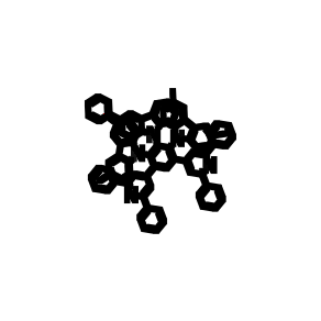 Cc1ccc2c(c1)c1cc(C)ccc1n2-c1c(-c2cc(-c3ccccc3)nc(-c3ccccc3)c2)cc(-c2cc(-c3ccccc3)nc(-c3ccccc3)c2)c(-n2c3ccc(C)cc3c3cc(C)ccc32)c1-n1c2ccccc2c2cc(-c3ccccc3)ccc21